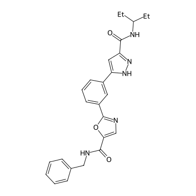 CCC(CC)NC(=O)c1cc(-c2cccc(-c3ncc(C(=O)NCc4ccccc4)o3)c2)[nH]n1